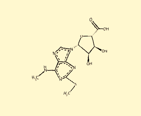 CNc1nc(SC)nc2c1ncn2[C@@H]1O[C@H](C(=O)O)[C@@H](O)[C@H]1O